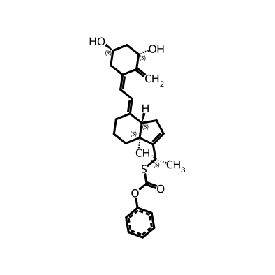 C=C1C(=CC=C2CCC[C@]3(C)C([C@H](C)SC(=O)Oc4ccccc4)=CC[C@@H]23)C[C@@H](O)C[C@@H]1O